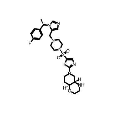 C[C@H](c1ccc(F)cc1)n1cncc1CN1CCN(S(=O)(=O)c2cnc(N3CC[C@@H]4OCCN[C@H]4C3)s2)CC1